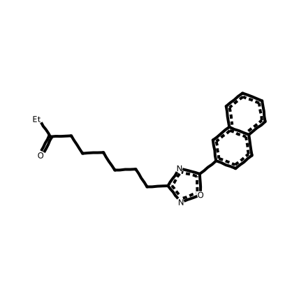 CCC(=O)CCCCCCc1noc(-c2ccc3ccccc3c2)n1